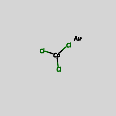 [Au].[Cl][Co]([Cl])[Cl]